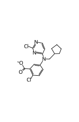 COC(=O)c1cc(N(CC2CCCC2)c2ccnc(Cl)n2)ccc1Cl